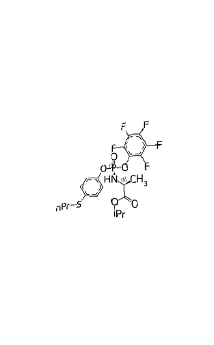 CCCSc1ccc(O[P@@](=O)(N[C@@H](C)C(=O)OC(C)C)Oc2c(F)c(F)c(F)c(F)c2F)cc1